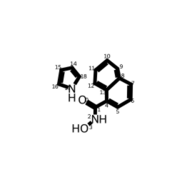 O=C(NO)c1cccc2ccccc12.c1cc[nH]c1